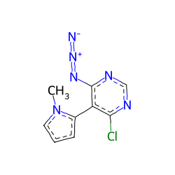 Cn1cccc1-c1c(Cl)ncnc1N=[N+]=[N-]